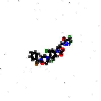 O=C(NC[C@H]1CN(c2cc(F)c(N3CCON(C(=S)c4ccccc4)CC3)c(F)c2)C(=O)O1)C(F)F